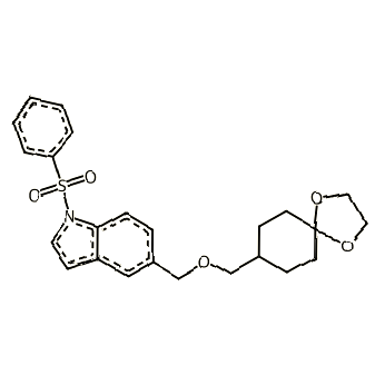 O=S(=O)(c1ccccc1)n1ccc2cc(COCC3CCC4(CC3)OCCO4)ccc21